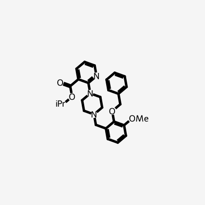 COc1cccc(CN2CCN(c3ncccc3C(=O)OC(C)C)CC2)c1OCc1ccccc1